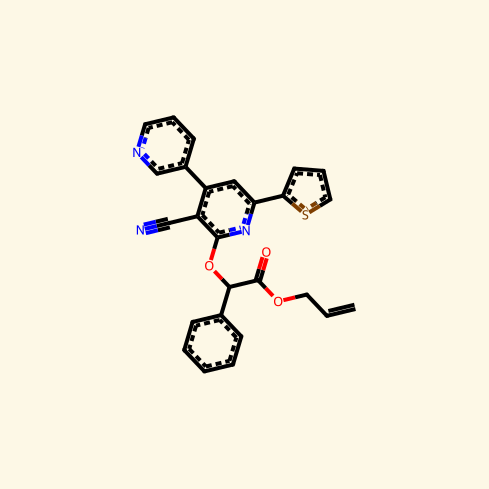 C=CCOC(=O)C(Oc1nc(-c2cccs2)cc(-c2cccnc2)c1C#N)c1ccccc1